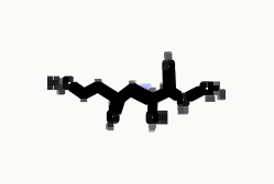 CCCC(=O)/C=C(\O)C(=O)OC